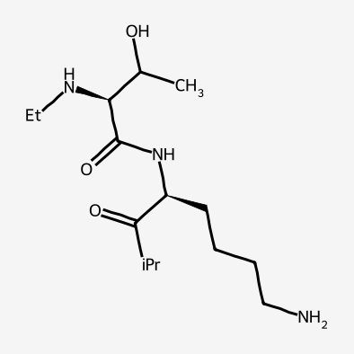 CCN[C@H](C(=O)N[C@@H](CCCCN)C(=O)C(C)C)C(C)O